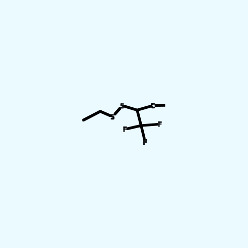 CCSSC(CC)C(F)(F)F